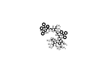 CC[C@H](C)[C@H](NC(=O)CNC(=O)C1CC2(O)c3ccccc3NC2N1C(c1ccccc1)(c1ccccc1)c1ccccc1)C(=O)NCC(=O)N[C@@H](CSC(c1ccccc1)(c1ccccc1)c1ccccc1)C(=O)N[C@@H](CC(=O)OC)C(=O)N1C[C@H](OC(C)(C)C)C[C@H]1C(=O)N[C@H](C(=O)OC(C)(C)C)[C@@H](C)CC